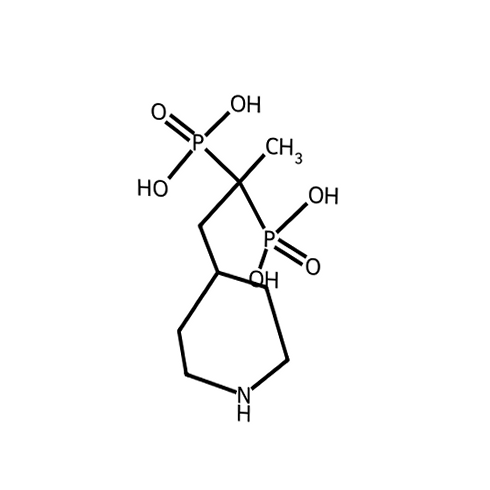 CC(CC1CCNCC1)(P(=O)(O)O)P(=O)(O)O